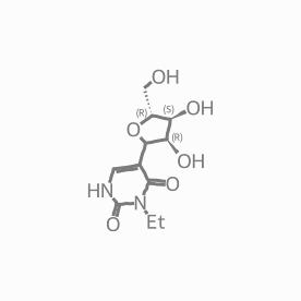 CCn1c(=O)[nH]cc(C2O[C@H](CO)[C@@H](O)[C@H]2O)c1=O